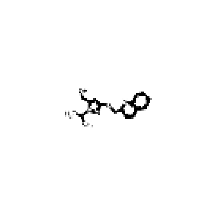 CC(C)n1nc(OCc2ccc3ccccc3n2)cc1CO